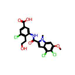 COc1cc2c(cc(C(=O)Nc3cc(C(=O)O)cc(Cl)c3CCO)n2C)c(Cl)c1Cl